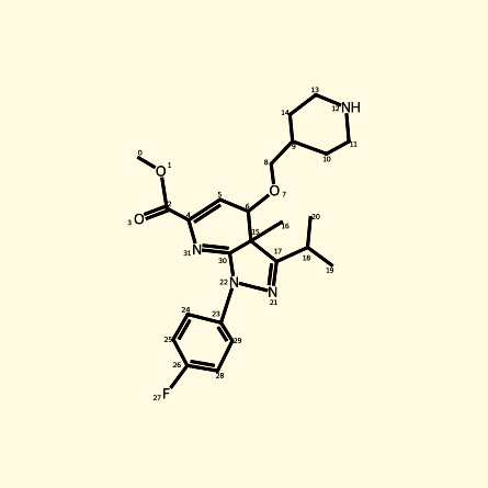 COC(=O)C1=CC(OCC2CCNCC2)C2(C)C(C(C)C)=NN(c3ccc(F)cc3)C2=N1